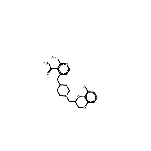 CSc1nccc(CC2CCN(CC3COc4cccc(Cl)c4O3)CC2)c1C(N)=O